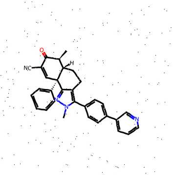 C[C@@H]1C(=O)C(C#N)=C[C@]2(c3ccccc3)c3nn(C)c(-c4ccc(-c5cccnc5)cc4)c3CC[C@@H]12